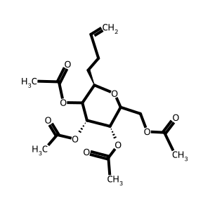 C=CCC[C@H]1OC(COC(C)=O)[C@H](OC(C)=O)[C@H](OC(C)=O)C1OC(C)=O